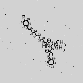 CN(C)CC(CC(=O)OCc1ccccc1)NC(=O)CCCCCCCC=Cc1ccc(F)cc1